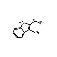 CC(C)Sc1[nH]c2ccccc2c1C(C)C